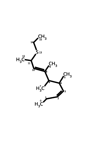 CC/C=C\C(C)C(C)/C(C)=C/C(C)SCC